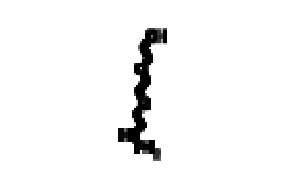 OCCOCCOCCNP